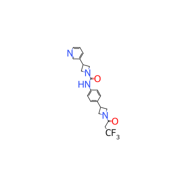 O=C(CC(F)(F)F)N1CC(c2ccc(NC(=O)N3CC(c4cccnc4)C3)cc2)C1